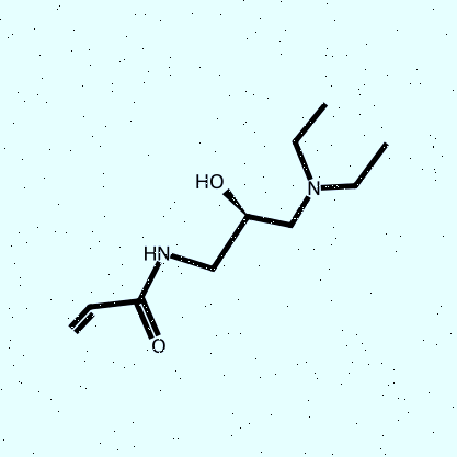 C=CC(=O)NC[C@@H](O)CN(CC)CC